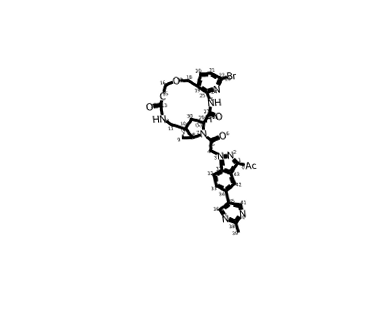 CC(=O)c1nn(CC(=O)N2C3C[C@@]34CNC(=O)CCOCc3ccc(Br)nc3NC(=O)[C@@H]2C4)c2ccc(-c3cnc(C)nc3)cc12